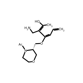 C=C/C=C(OC[C@@H]1COCCN1C(C)=O)\C(CN)=C(/C)O